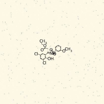 CCOC(=O)C[C@H](NS(=O)(=O)c1cccc(OC)c1)c1cc(Cl)cc(Cl)c1O